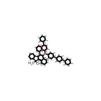 CC1(C)c2ccccc2-c2c(-c3ccccc3)c(N(c3ccc(-c4ccccc4)cc3)c3ccc(-c4ccc(-c5ccccc5)cc4)cc3)c3ccccc3c21